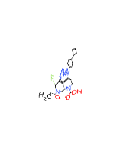 C=CC(=O)N1CC(F)c2nn(-c3ccc(C4CCC4)cc3)c3c2C(C1)N(C(=O)O)CC3